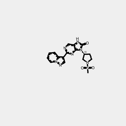 CS(=O)(=O)N1CC[C@H](n2c(=O)[nH]c3cnc(-c4cnn5ccccc45)nc32)C1